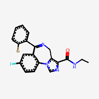 CCNC(=O)c1ncn2c1CN=C(c1ccccc1Br)c1cc(F)ccc1-2